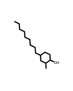 CCCCCCCCCC1CCC(O)C(C)C1